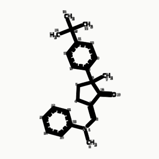 CN(C=C1CCC(C)(c2ccc(C(C)(C)C)cc2)C1=O)c1ccccc1